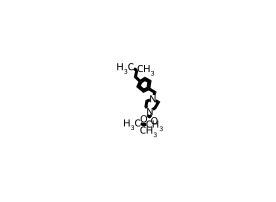 CC(C)Cc1ccc(CN2CCN(C(=O)OC(C)(C)C)CC2)cc1